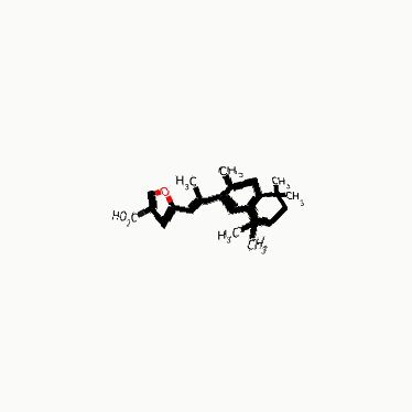 CC(=Cc1cc(C(=O)O)co1)c1cc2c(cc1C)C(C)(C)CCC2(C)C